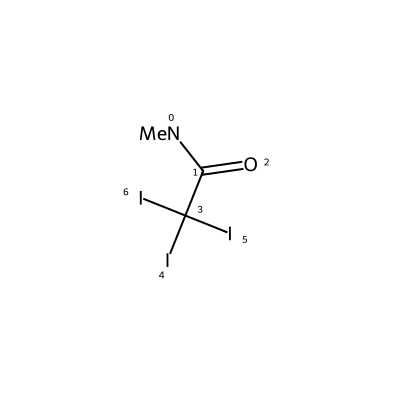 CNC(=O)C(I)(I)I